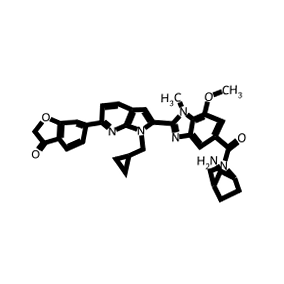 COc1cc(C(=O)N2CC3CCC2C3N)cc2nc(-c3cc4ccc(-c5ccc6c(c5)OCC6=O)nc4n3CC3CC3)n(C)c12